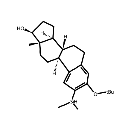 C[SiH](C)c1cc2c(cc1OC(C)(C)C)CC[C@@H]1[C@@H]2CC[C@]2(C)[C@@H](O)CC[C@@H]12